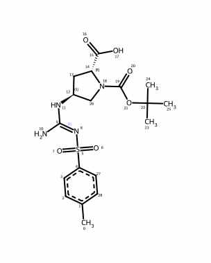 Cc1ccc(S(=O)(=O)/N=C(\N)N[C@H]2C[C@H](C(=O)O)N(C(=O)OC(C)(C)C)C2)cc1